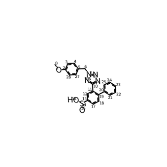 COc1ccc(Cn2nnc(-c3cc(S(=O)O)ccc3-c3ccccc3)n2)cc1